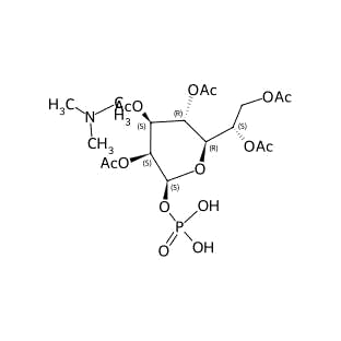 CC(=O)OC[C@H](OC(C)=O)[C@H]1O[C@@H](OP(=O)(O)O)[C@@H](OC(C)=O)[C@@H](OC(C)=O)[C@@H]1OC(C)=O.CN(C)C